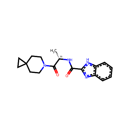 C[C@H](NC(=O)c1nc2ccccc2[nH]1)C(=O)N1CCC2(CC1)CC2